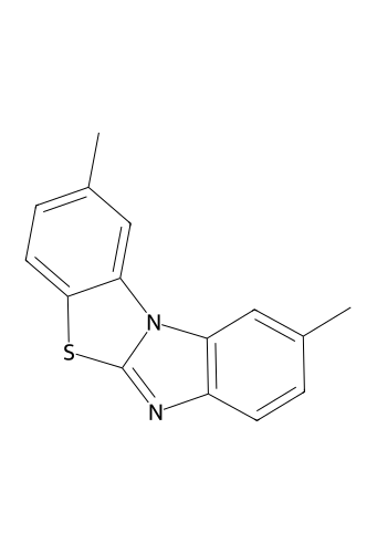 Cc1ccc2nc3sc4ccc(C)cc4n3c2c1